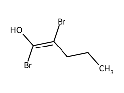 CCC/C(Br)=C(/O)Br